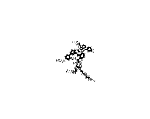 C=CC(=O)N1CCC[C@@](Cc2ccccc2)(C(=O)N[C@@H](Cc2ccc(-c3ccc(C(=O)O)cc3C)cc2)C(=O)NCc2ccccc2CC(=O)N[C@@H](CCNC(C)=O)C(=O)NCCOCCN)C1